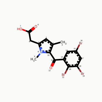 Cc1cc(CC(=O)O)n(C)c1C(=O)c1cc(Br)cc(Br)c1Br